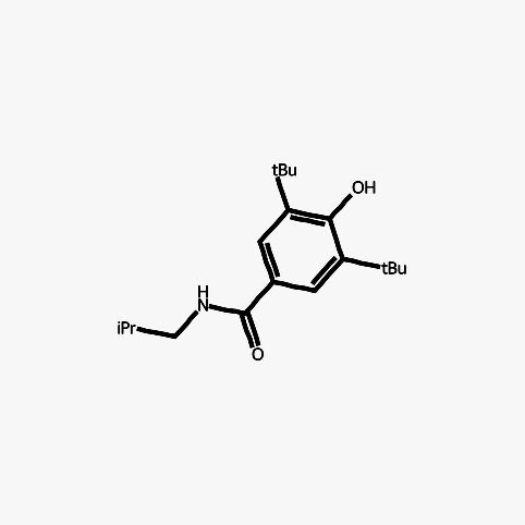 CC(C)CNC(=O)c1cc(C(C)(C)C)c(O)c(C(C)(C)C)c1